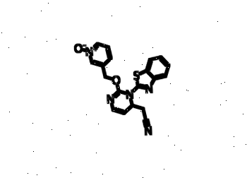 N#CCC1C=CN=C(OCc2ccc[n+]([O-])c2)N1c1nc2ccccc2s1